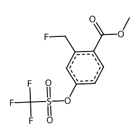 COC(=O)c1ccc(OS(=O)(=O)C(F)(F)F)cc1CF